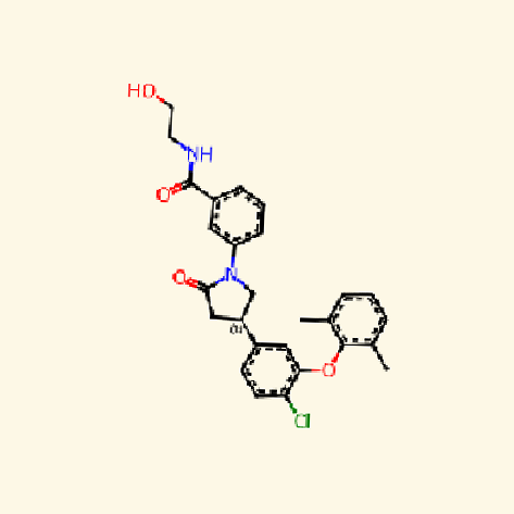 Cc1cccc(C)c1Oc1cc([C@H]2CC(=O)N(c3cccc(C(=O)NCCO)c3)C2)ccc1Cl